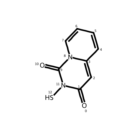 O=c1cc2ccccn2c(=O)n1S